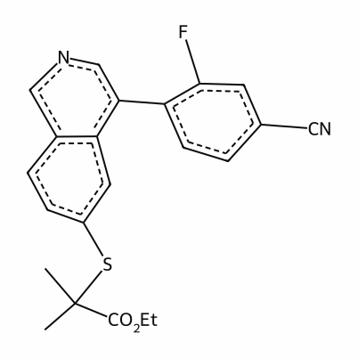 CCOC(=O)C(C)(C)Sc1ccc2cncc(-c3ccc(C#N)cc3F)c2c1